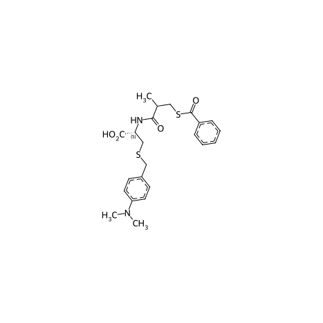 CC(CSC(=O)c1ccccc1)C(=O)N[C@H](CSCc1ccc(N(C)C)cc1)C(=O)O